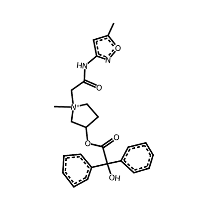 Cc1cc(NC(=O)C[N+]2(C)CCC(OC(=O)C(O)(c3ccccc3)c3ccccc3)C2)no1